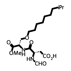 COC(=O)[C@H](COCCCCCCCC(C)C)NC(=O)[C@H](CC(=O)O)NC=O